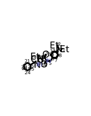 CCN1C(=O)/C(=C\c2ccc(N(CC)CC)cc2)O/C1=N/C(C)C1CCCCC1